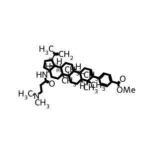 C=C(C)[C@@H]1CC[C@]2(NC(=O)CCN(C)C)CC[C@]3(C)[C@H](CC[C@@H]4[C@@]5(C)CC=C(c6ccc(C(=O)OC)cc6)C(C)(C)[C@@H]5CC[C@]43C)[C@@H]12